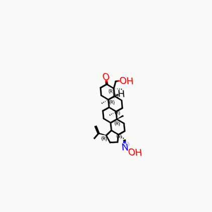 C=C(C)[C@@H]1CC[C@]2(/C=N/O)CC[C@]3(C)C(CCC4[C@@]5(C)CCC(=O)[C@@](C)(CO)[C@@H]5CC[C@]43C)C12